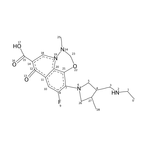 CCNCC1CN(c2c(F)cc3c(=O)c(C(=O)O)cn4c3c2OCN4C)CC1C